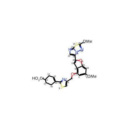 COc1cc(OCc2csc(C3=CCC(C(=O)O)CC3)n2)c2cc(-c3cnc4sc(OC)nn34)oc2c1